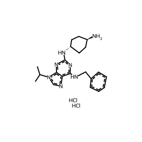 CC(C)n1cnc2c(NCc3ccccc3)nc(N[C@H]3CC[C@H](N)CC3)nc21.Cl.Cl